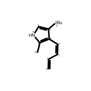 C=C/C=C\c1c(C(C)(C)C)c[nH]c1C